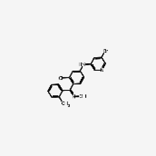 Cc1ccccc1C(=NO)c1ccc(Nc2cncc(Br)c2)cc1Cl